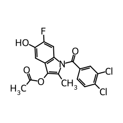 CC(=O)Oc1c(C)n(C(=O)c2ccc(Cl)c(Cl)c2)c2cc(F)c(O)cc12